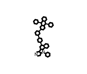 c1ccc(-c2c3ccccc3c(-c3ccccc3)c3cc(-c4cccc(-c5ccc(-c6cc7c8cnccc8n(-c8ccccc8)c7c7ccccc67)cc5)c4)ccc23)cc1